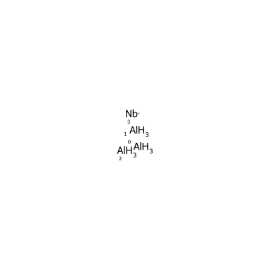 [AlH3].[AlH3].[AlH3].[Nb]